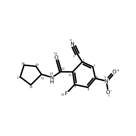 N#Cc1cc([N+](=O)[O-])cc(F)c1C(=O)NC1CCCC1